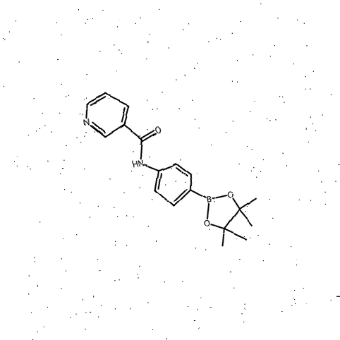 CC1(C)OB(c2ccc(NC(=O)c3cccnc3)cc2)OC1(C)C